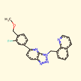 COCc1ccc(-c2ccc3nnn(Cc4cccc5cccnc45)c3n2)cc1F